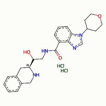 Cl.Cl.O=C(NCC(O)[C@@H]1Cc2ccccc2CN1)c1cccc2c1ncn2C1CCOCC1